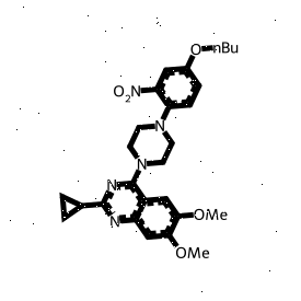 CCCCOc1ccc(N2CCN(c3nc(C4CC4)nc4cc(OC)c(OC)cc34)CC2)c([N+](=O)[O-])c1